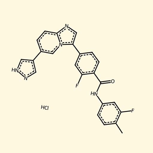 Cc1ccc(NC(=O)c2ccc(-c3cnc4ccc(-c5cn[nH]c5)cn34)cc2F)cc1F.Cl